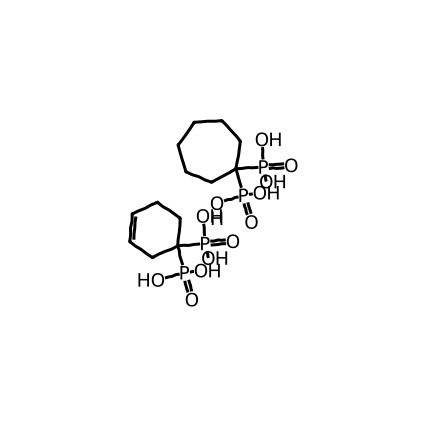 O=P(O)(O)C1(P(=O)(O)O)CC=CCC1.O=P(O)(O)C1(P(=O)(O)O)CCCCCC1